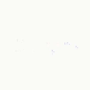 O=C(O)CC(SCCC(=O)NC(=O)Cc1cnc[nH]1)C(=O)O